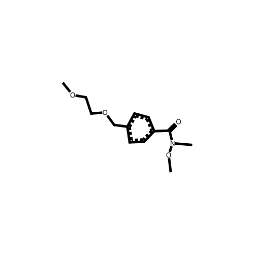 COCCOCc1ccc(C(=O)N(C)OC)cc1